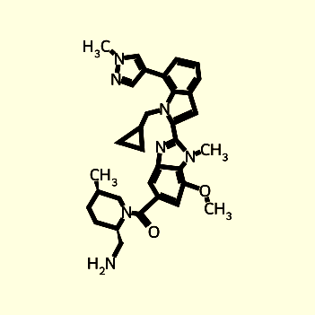 COc1cc(C(=O)N2C[C@H](C)CC[C@@H]2CN)cc2nc(-c3cc4cccc(-c5cnn(C)c5)c4n3CC3CC3)n(C)c12